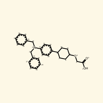 O=C(O)COC1CCC(c2ccc(N(Cc3ccccc3)Cc3ccccc3)cc2)CC1